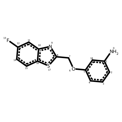 Nc1cccc(OCc2nc3cc(F)ccc3s2)c1